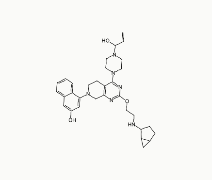 C=CC(O)N1CCN(c2nc(OCCNC3CCC4CC43)nc3c2CCN(c2cc(O)cc4ccccc24)C3)CC1